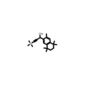 Cc1cc2c(cc1C(O)C#C[Si](C)(C)C)C(C)(C)CCC2(C)C